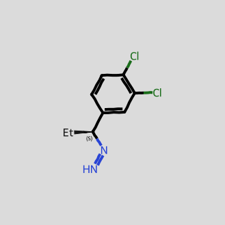 CC[C@H](N=N)c1ccc(Cl)c(Cl)c1